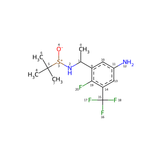 CC(N[S+]([O-])C(C)(C)C)c1cc(N)cc(C(F)(F)F)c1F